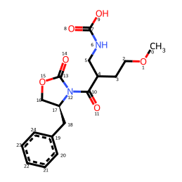 COCCC(CNC(=O)O)C(=O)N1C(=O)OC[C@@H]1Cc1ccccc1